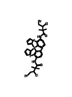 CC(C)CC(Cl)C(C)(C)C(=O)Nc1ccc(F)[c]([Ti]([C]2=CC=CC2)([C]2=CC=CC2)[c]2c(F)ccc(NC(=O)C(C)(C)C(Cl)CC(C)C)c2F)c1F